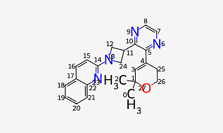 CC1(C)C=C(c2nccnc2C2CN(c3ccc4ccccc4n3)C2)CCO1